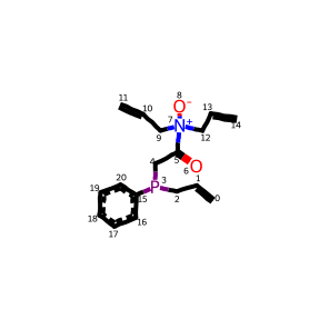 C=CCP(CC(=O)[N+]([O-])(CC=C)CC=C)c1ccccc1